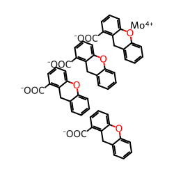 O=C([O-])c1cccc2c1Cc1ccccc1O2.O=C([O-])c1cccc2c1Cc1ccccc1O2.O=C([O-])c1cccc2c1Cc1ccccc1O2.O=C([O-])c1cccc2c1Cc1ccccc1O2.[Mo+4]